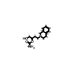 NC(=O)OC(CO)CCN1CCc2ccccc2C1